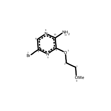 COCCOc1nc(Br)cnc1N